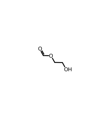 O=COCCO